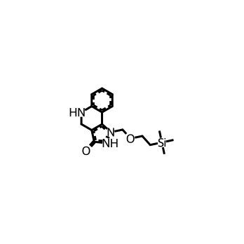 C[Si](C)(C)CCOCn1[nH]c(=O)c2c1-c1ccccc1NC2